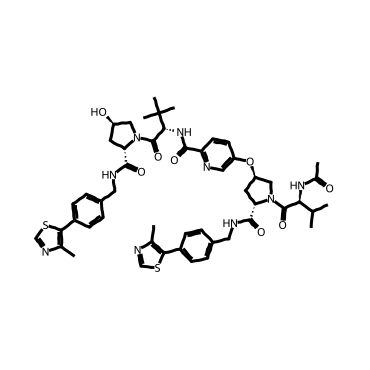 CC(=O)N[C@H](C(=O)N1C[C@H](Oc2ccc(C(=O)N[C@H](C(=O)N3C[C@H](O)C[C@H]3C(=O)NCc3ccc(-c4scnc4C)cc3)C(C)(C)C)nc2)C[C@H]1C(=O)NCc1ccc(-c2scnc2C)cc1)C(C)C